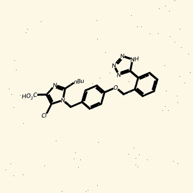 CCCCc1nc(C(=O)O)c(Cl)n1Cc1ccc(OCc2ccccc2-c2nnn[nH]2)cc1